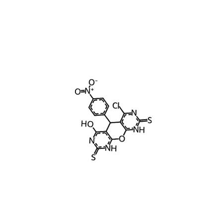 O=[N+]([O-])c1ccc(C2c3c(O)nc(=S)[nH]c3Oc3[nH]c(=S)nc(Cl)c32)cc1